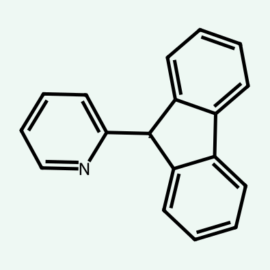 c1ccc([C]2c3ccccc3-c3ccccc32)nc1